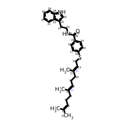 CC(C)=CCC/C(C)=C/CC/C(C)=C/CSc1ccc(C(=O)NCCc2c[nH]c3ccccc23)cc1